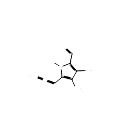 C=C=Cc1c(C)c(C)c(C=C)n1C